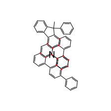 CC1(c2ccccc2)c2ccccc2-c2cc(N(c3ccccc3-c3ccc(-c4ccccc4)cc3)c3ccccc3-c3ccccc3-c3ccccc3-c3ccccc3)ccc21